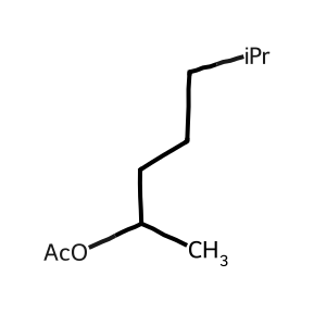 CC(=O)OC(C)CCCC(C)C